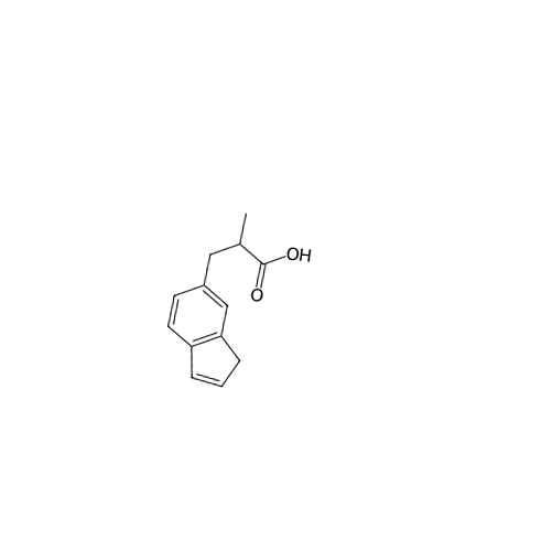 CC(Cc1ccc2c(c1)CC=C2)C(=O)O